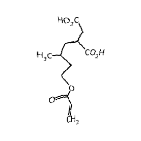 C=CC(=O)OCCC(C)CC(CC(=O)O)C(=O)O